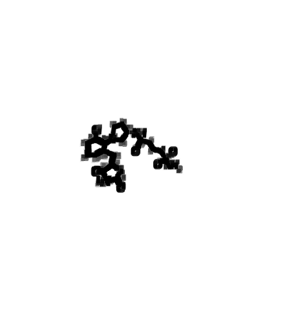 NS(=O)(=O)CCCC(=O)N[C@H]1CCN(c2c(Cl)cccc2C=C2SC(=O)NC2=O)C1